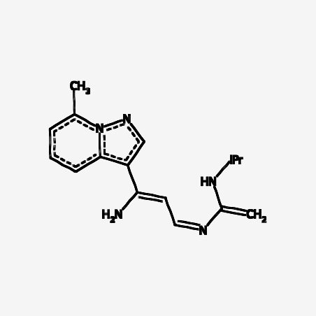 C=C(/N=C\C=C(/N)c1cnn2c(C)cccc12)NC(C)C